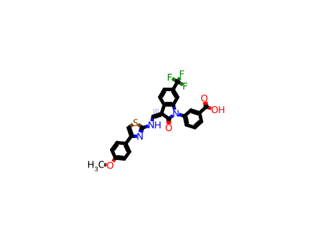 COc1ccc(-c2csc(N/C=C3\C(=O)N(c4cccc(C(=O)O)c4)c4cc(C(F)(F)F)ccc43)n2)cc1